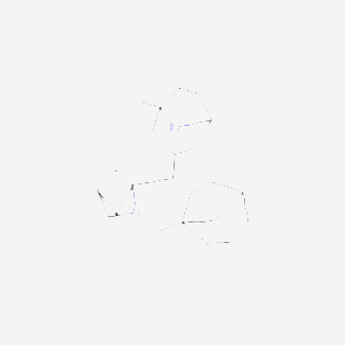 CC12CCC(CC(CC34CC(CN3CC35CCC(CCN3)CC5)C4)C1)N2